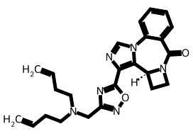 C=CCCN(CCC=C)Cc1noc(-c2ncn3c2[C@@H]2CCN2C(=O)c2ccccc2-3)n1